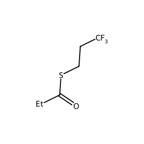 CCC(=O)SCCC(F)(F)F